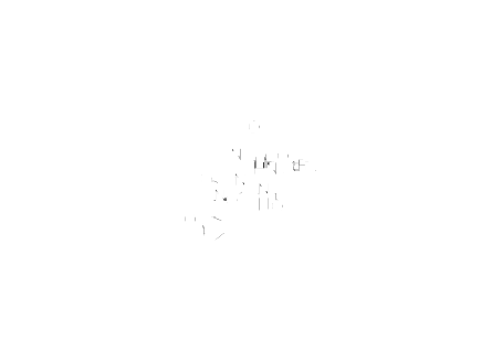 C[C@H](C(=O)N[C@H](C(=O)N1C[C@H]2C[C@@H](O)CN2C[C@H]1C(=O)N[C@@H]1CCOc2ccccc21)C1CCCCC1)C(NC(=O)O)C(C)(C)C